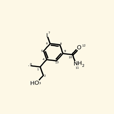 [CH2]C(CO)c1cc(I)cc(C(N)=O)c1